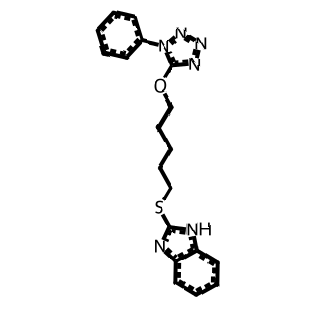 c1ccc(-n2nnnc2OCCCCCSc2nc3ccccc3[nH]2)cc1